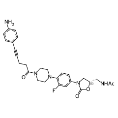 CC(=O)NC[C@H]1CN(c2ccc(N3CCN(C(=O)CCC#Cc4ccc(N)cc4)CC3)c(F)c2)C(=O)O1